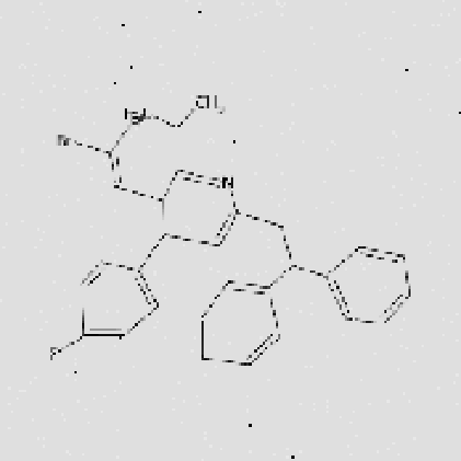 CC(C)c1nc(CC(c2ccccc2)c2ccccc2)cc(-c2ccc(F)cc2)c1C=C(Br)Br